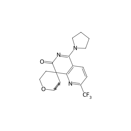 O=C1N=C(N2CCCC2)c2ccc(C(F)(F)F)nc2C12CCOc1ccccc12